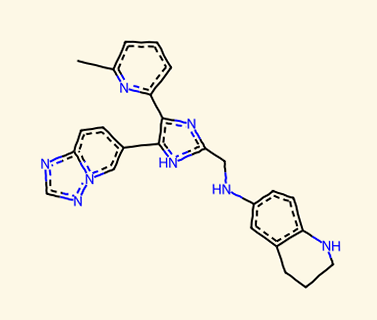 Cc1cccc(-c2nc(CNc3ccc4c(c3)CCCN4)[nH]c2-c2ccc3ncnn3c2)n1